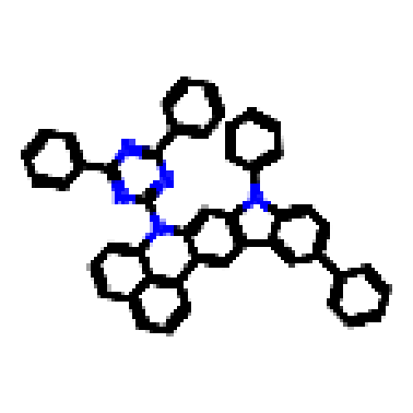 c1ccc(-c2ccc3c(c2)c2cc4c(cc2n3-c2ccccc2)N(c2nc(-c3ccccc3)nc(-c3ccccc3)n2)c2cccc3cccc-4c23)cc1